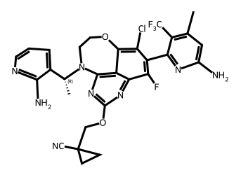 Cc1cc(N)nc(-c2c(Cl)c3c4c(nc(OCC5(C#N)CC5)nc4c2F)N([C@H](C)c2cccnc2N)CCO3)c1C(F)(F)F